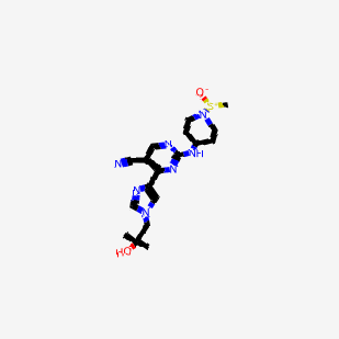 C[S+]([O-])N1CCC(Nc2ncc(C#N)c(-c3cn(CC(C)(C)O)cn3)n2)CC1